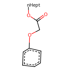 CCCCCCCOC(=O)COc1ccccc1